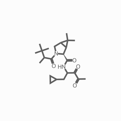 CC(=O)C(=O)C(CC1CC1)NC(=O)[C@@H]1C2C(CN1C(=O)C(C)C(C)(C)C)C2(C)C